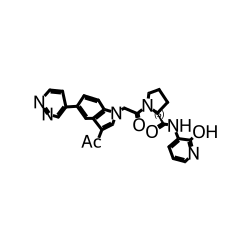 CC(=O)c1cn(CC(=O)N2CCC[C@H]2C(=O)Nc2cccnc2O)c2ccc(-c3ccnnc3)cc12